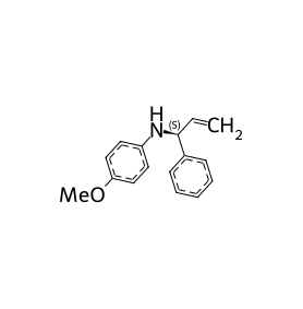 C=C[C@H](Nc1ccc(OC)cc1)c1ccccc1